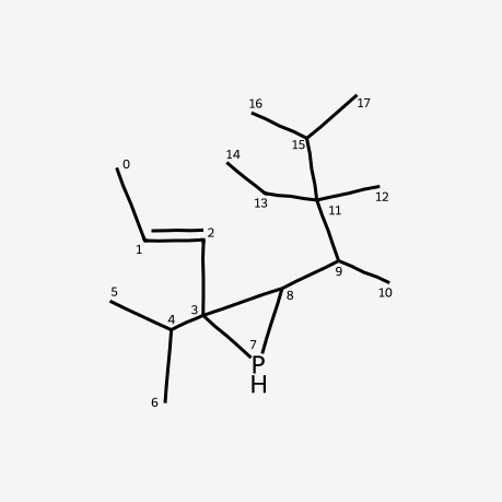 CC=CC1(C(C)C)PC1C(C)C(C)(CC)C(C)C